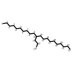 CCCCCCCCCCC(CCI)CCCCCCCCCC